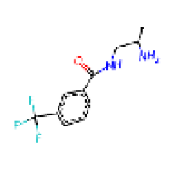 C[C@@H](N)CNC(=O)c1cccc(C(F)(F)F)c1